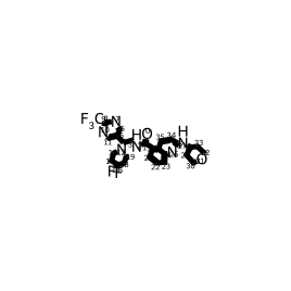 O=C(NCC(c1cnc(C(F)(F)F)nc1)N1CCC(F)(F)CC1)c1cccc2nc(NC3CCOCC3)ccc12